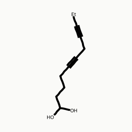 CCC#CCC#CCCCC(O)O